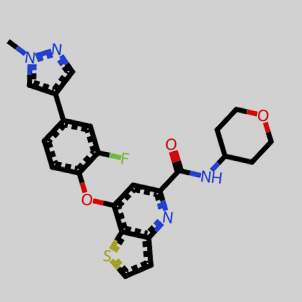 Cn1cc(-c2ccc(Oc3cc(C(=O)NC4CCOCC4)nc4ccsc34)c(F)c2)cn1